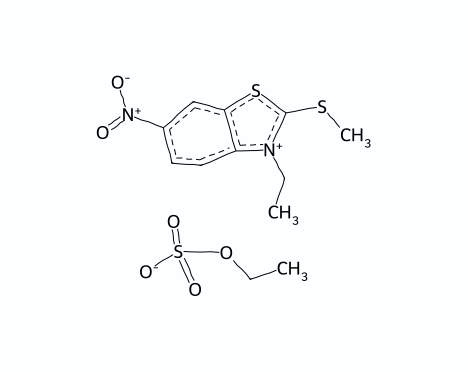 CCOS(=O)(=O)[O-].CC[n+]1c(SC)sc2cc([N+](=O)[O-])ccc21